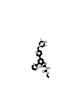 CCOC(=O)Nc1nc2cc(-c3ccc(CN4C[C@@H](C)N[C@@H](C)C4)nc3)cc(-c3ncccn3)c2[nH]1